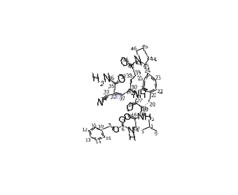 CC(C)C[C@H](NC(=O)OCc1ccccc1)C(=O)N[C@@H](Cc1ccccc1)C(=O)N[C@@H](/C=C(/C#N)C(N)=O)CCC(=O)N1CCCC1